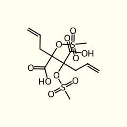 C=CCC(OS(C)(=O)=O)(C(=O)O)C(CC=C)(OS(C)(=O)=O)C(=O)O